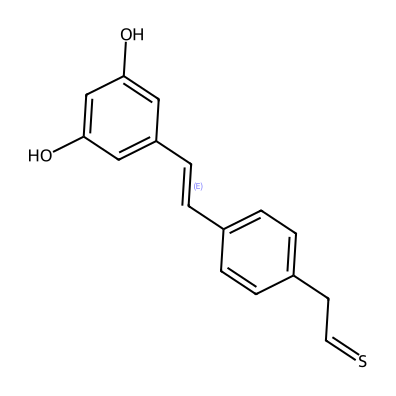 Oc1cc(O)cc(/C=C/c2ccc(CC=S)cc2)c1